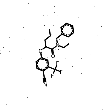 CCCC(Oc1ccc(C#N)c(C(F)(F)F)c1)C(=O)N(CC)Cc1ccccc1